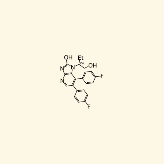 CC[C@@H](CO)n1c(O)nc2ncc(-c3ccc(F)cc3)c(-c3ccc(F)cc3)c21